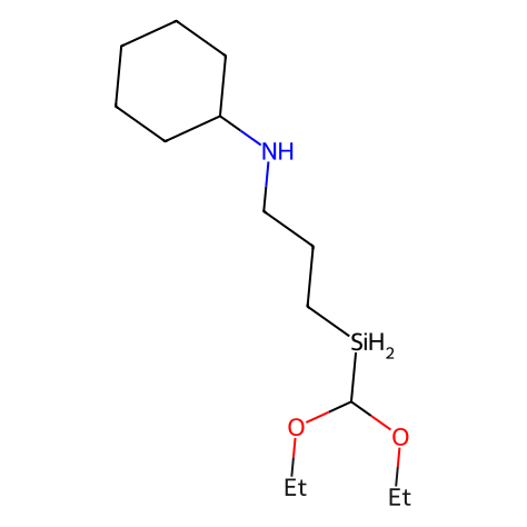 CCOC(OCC)[SiH2]CCCNC1CCCCC1